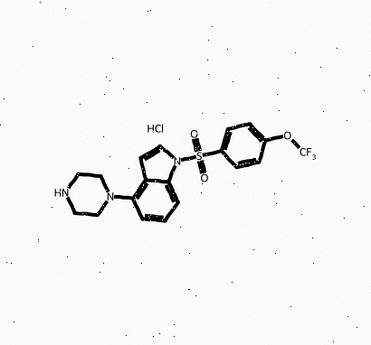 Cl.O=S(=O)(c1ccc(OC(F)(F)F)cc1)n1ccc2c(N3CCNCC3)cccc21